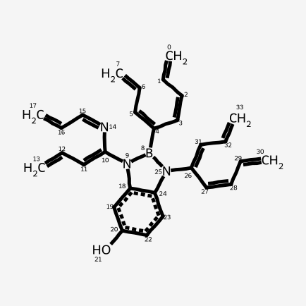 C=C/C=C\C(=C/C=C)B1N(C(=C/C=C)/N=C\C=C)c2cc(O)ccc2N1C(/C=C\C=C)=C/C=C